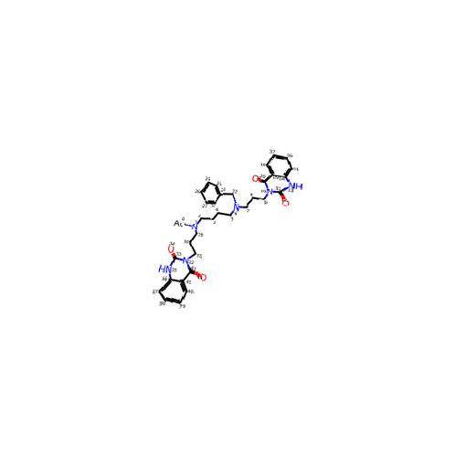 CC(=O)N(CCCCN(CCCn1c(=O)[nH]c2ccccc2c1=O)Cc1ccccc1)CCCn1c(=O)[nH]c2ccccc2c1=O